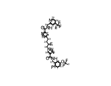 CC(F)(F)Oc1ccc(F)c(CNC(=O)c2cn(CC(F)CCc3nnc(C(=O)NCc4cc(C(F)(F)F)ccn4)s3)nn2)c1